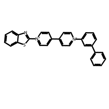 c1ccc(-c2cccc(-[n+]3ccc(-c4cc[n+](-c5nc6ccccc6s5)cc4)cc3)c2)cc1